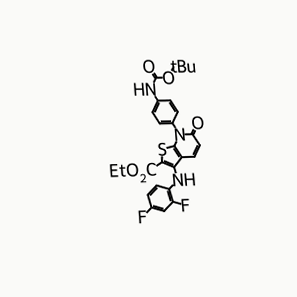 CCOC(=O)c1sc2c(ccc(=O)n2-c2ccc(NC(=O)OC(C)(C)C)cc2)c1Nc1ccc(F)cc1F